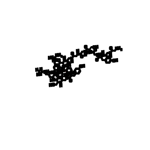 N=C(N)NCCC[C@H](NC(=O)[C@H](CCCNC(=N)N)NC(=O)[C@H](CO)NC(=O)CNC(=O)[C@H](Cc1ccc(O)cc1)NC(=O)CNC(=O)CNC(=O)[C@H](CO)NC(=O)CNC(=O)CNC(=O)CNC(=O)[C@H](CO)NC(=O)CNC(=O)[C@H](Cc1ccc(O)cc1)NC(=O)CNC(=O)CN)C(=O)N[C@@H](Cc1ccccc1)C(=O)O